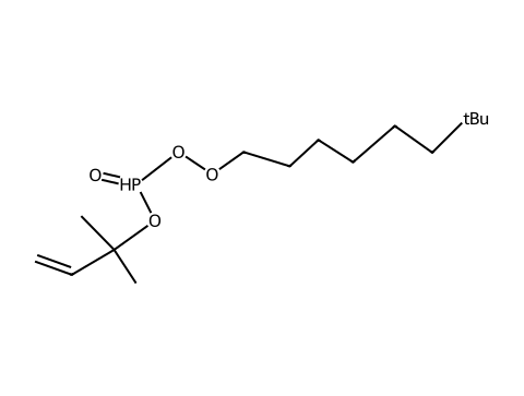 C=CC(C)(C)O[PH](=O)OOCCCCCCC(C)(C)C